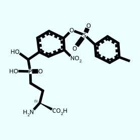 Cc1ccc(S(=O)(=O)Oc2ccc(C(O)P(=O)(O)CC[C@H](N)C(=O)O)cc2[N+](=O)[O-])cc1